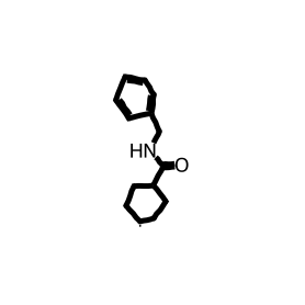 O=C(NCc1ccccc1)C1CC[CH]CC1